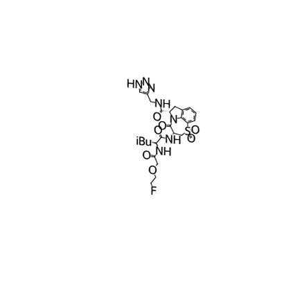 CC[C@H](C)[C@H](NC(=O)COCCF)C(=O)N[C@H]1CS(=O)(=O)c2cccc3c2N(C1=O)[C@H](C(=O)NCc1c[nH]nn1)C3